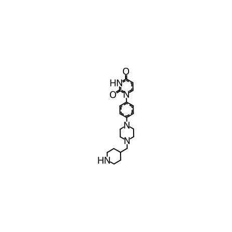 O=c1ccn(-c2ccc(N3CCN(CC4CCNCC4)CC3)cc2)c(=O)[nH]1